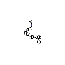 CN(C)C/C=C/C(=O)NC1CN(c2ccnc(CC(=O)Nc3ccc(-c4cc5c(N6CCOCC6)ncnc5[nH]4)cc3)c2)C1